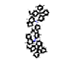 C=Cc1ccc(C2(c3ccccc3)c3ccccc3-c3ccc(N(c4ccc5c(c4)C(C)(C)c4cc(N(c6ccc7c(c6)C(c6ccccc6)(c6ccc(C=C)cc6)c6ccccc6-7)c6cccc7ccccc67)ccc4-5)c4cccc5ccccc45)cc32)cc1